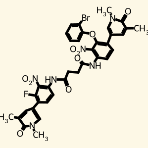 Cc1cc(-c2ccc(NC(=O)CCC(=O)Nc3ccc(-c4cc(C)c(=O)n(C)c4)c(Oc4ccccc4Br)c3[N+](=O)[O-])c([N+](=O)[O-])c2F)cn(C)c1=O